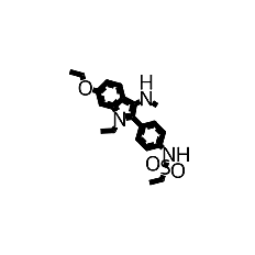 CCOc1ccc2c(NC)c(-c3ccc(NS(=O)(=O)CC)cc3)n(CC)c2c1